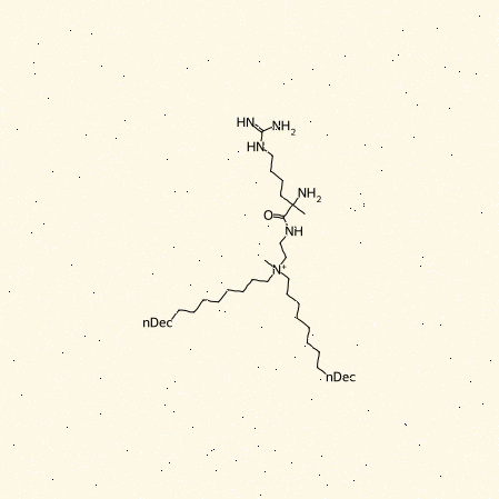 CCCCCCCCCCCCCCCCCC[N+](C)(CCCCCCCCCCCCCCCCCC)CCNC(=O)C(C)(N)CCCCNC(=N)N